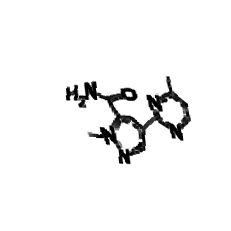 Cc1ccnc(-c2cnn(C)c2C(N)=O)n1